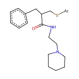 CC(=O)SCC(Cc1ccccc1)C(=O)NCCN1CCCCC1